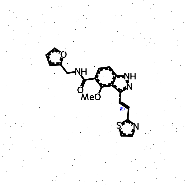 COc1c(C(=O)NCc2ccco2)ccc2[nH]nc(/C=C/c3nccs3)c12